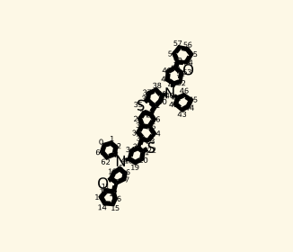 c1ccc(N(c2ccc3c(c2)oc2ccccc23)c2ccc3sc4cc5cc6c(cc5cc4c3c2)sc2ccc(N(c3ccccc3)c3ccc4c(c3)oc3ccccc34)cc26)cc1